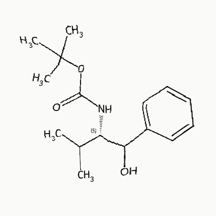 CC(C)[C@H](NC(=O)OC(C)(C)C)C(O)c1ccccc1